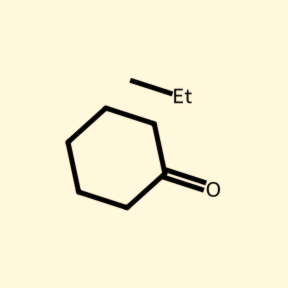 CCC.O=C1CCCCC1